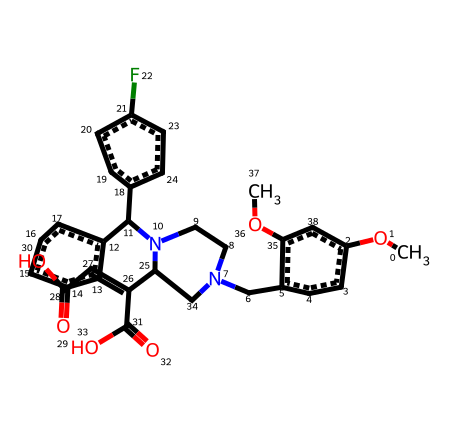 COc1ccc(CN2CCN(C(c3ccccc3)c3ccc(F)cc3)C(/C(=C/C(=O)O)C(=O)O)C2)c(OC)c1